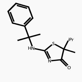 CC(C)C1(C)SC(NC(C)(C)c2ccccc2)=NC1=O